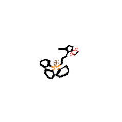 CC1=C(CCCP(Br)(c2ccccc2)(c2ccccc2)c2ccccc2)C2(CC1)OCCO2